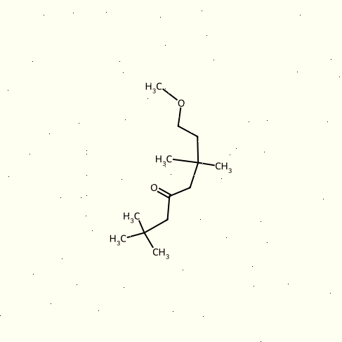 COCCC(C)(C)CC(=O)CC(C)(C)C